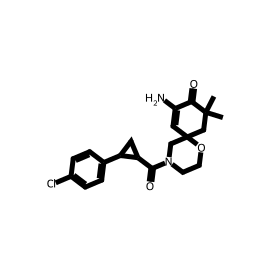 CC1(C)CC2(C=C(N)C1=O)CN(C(=O)C1CC1c1ccc(Cl)cc1)CCO2